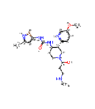 CNCCC(=O)N1CC[C@@H](NC(=O)Nc2cc(C)ns2)[C@H](c2ccc(OC)cn2)C1